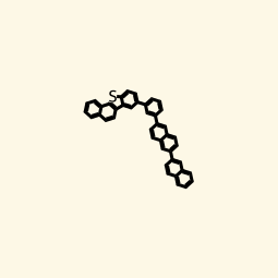 c1cc(-c2ccc3cc(-c4ccc5ccccc5c4)ccc3c2)cc(-c2ccc3sc4c5ccccc5ccc4c3c2)c1